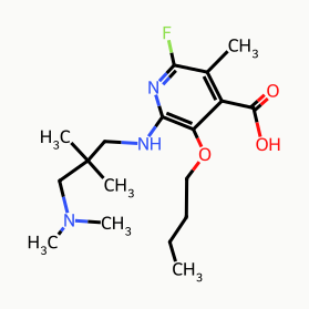 CCCCOc1c(NCC(C)(C)CN(C)C)nc(F)c(C)c1C(=O)O